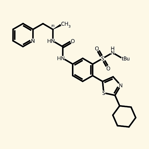 C[C@H](Cc1ccccn1)NC(=O)Nc1ccc(-c2cnc(C3CCCCC3)s2)c(S(=O)(=O)NC(C)(C)C)c1